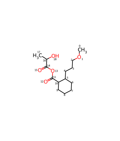 COCCCC1CCCCC1C(=O)OC(=O)C(C)O